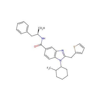 O=C(N[C@@H](Cc1ccccc1)C(=O)O)c1ccc2c(c1)nc(Cc1cccs1)n2C1CCCCC1C(F)(F)F